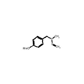 C=NN(C)Cc1ccc(OC)cc1